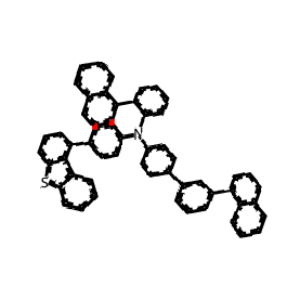 c1cc(-c2ccc(N(c3ccc(-c4cccc5sc6ccccc6c45)cc3)c3ccccc3-c3cccc4ccccc34)cc2)cc(-c2cccc3ccccc23)c1